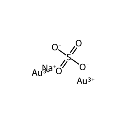 O=S(=O)([O-])[O-].[Au+3].[Au+3].[Na+]